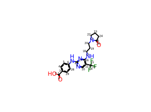 O=C(O)c1ccc(Nc2ncc(C(F)(F)F)c(NCCCN3CCCC3=O)n2)cc1